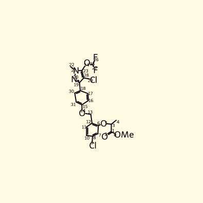 COC(=O)C(C)Oc1cc(Cl)ccc1COc1ccc(-c2nn(C)c(OC(F)F)c2Cl)cc1